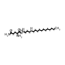 CCCCCCCCCCCCNCCCNNC(=O)[C@@H](N)CCC(N)=O